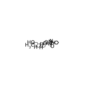 C[C@@]1(O)CCC2C3CC[C@]4(C)[C@@H](C(=O)Cn5nnn(-c6ccccc6)c5=O)CC[C@H]4[C@@H]3CC[C@@H]2C1